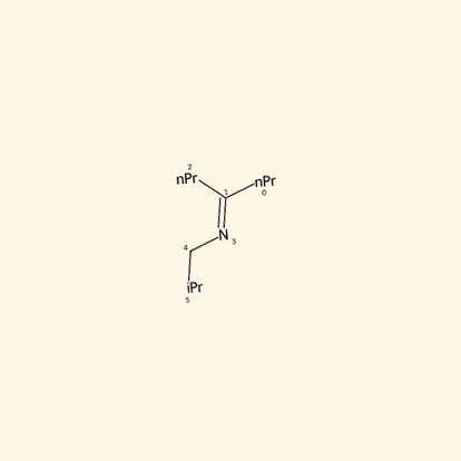 CCCC(CCC)=NCC(C)C